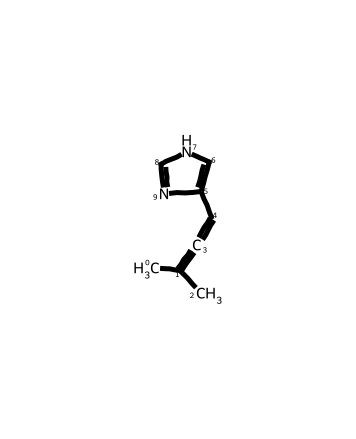 CC(C)=C=Cc1c[nH]cn1